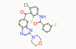 O=C(Nc1ccc(Cl)c(C(=O)c2ccc3ncc(N4CCOCC4)nc3c2)c1F)c1cccc(F)c1